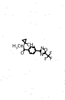 CN(C(=O)c1ccc(-c2noc(C(F)(F)F)n2)cc1)C1(C)CC1